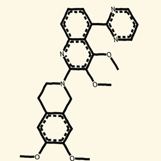 COc1cc2c(cc1OC)CN(c1nc3cccc(-c4ncccn4)c3c(OC)c1OC)CC2